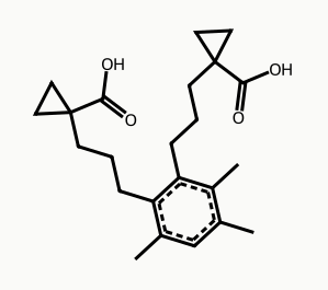 Cc1cc(C)c(CCCC2(C(=O)O)CC2)c(CCCC2(C(=O)O)CC2)c1C